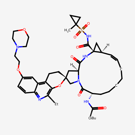 CCc1nc2ccc(OCCN3CCOCC3)cc2c2c1O[C@]1(CC2)C[C@H]2C(=O)N[C@]3(C(=O)NS(=O)(=O)C4(C)CC4)C[C@H]3/C=C\CCCCC[C@H](NC(=O)OCC(C)C)C(=O)N2C1